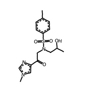 Cc1ccc(S(=O)(=O)N(CC(=O)c2cn(C)cn2)CC(C)O)cc1